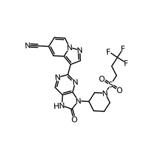 N#Cc1ccn2ncc(-c3ncc4[nH]c(=O)n(C5CCCN(S(=O)(=O)CCC(F)(F)F)C5)c4n3)c2c1